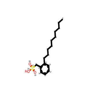 CCCCCCCCCCc1ccccc1CS(=O)(=O)O